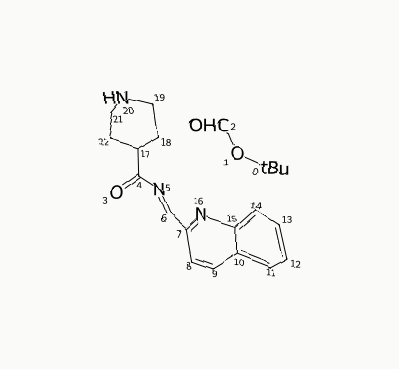 CC(C)(C)OC=O.O=C(N=Cc1ccc2ccccc2n1)C1CCNCC1